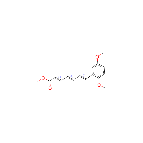 COC(=O)/C=C/C=C/C=C/c1cc(OC)ccc1OC